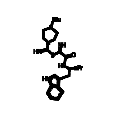 CCCC(Cc1c[nH]c2ccccc12)NC(=O)C(=N)SC(=N)N1CCN(C(C)(C)C)CC1